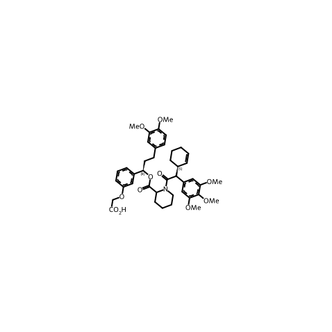 COc1ccc(CC[C@@H](OC(=O)C2CCCCN2C(=O)C(c2cc(OC)c(OC)c(OC)c2)[C@@H]2C=CCCC2)c2cccc(OCC(=O)O)c2)cc1OC